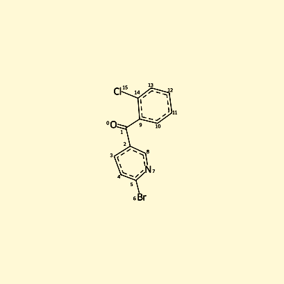 O=C(c1ccc(Br)nc1)c1ccccc1Cl